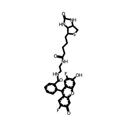 O=C(CCCCC1SCC2NC(=O)NC21)NCCNC(=O)c1ccccc1-c1c2cc(F)c(=O)cc-2oc2cc(O)c(F)cc12